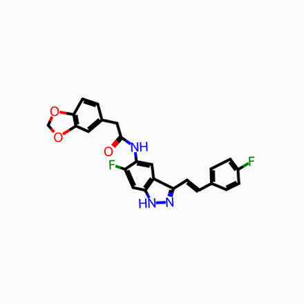 O=C(Cc1ccc2c(c1)OCO2)Nc1cc2c(C=Cc3ccc(F)cc3)n[nH]c2cc1F